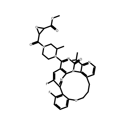 COC(=O)C1OC1C(=O)N1CCN(c2nc(=O)n3c4nc(c(F)cc24)-c2c(F)cccc2OCCCc2ccnc(C(C)C)c2-3)C(C)C1